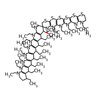 CCC1CCN(CC)C2=C1C(CC)C1=C(N2CC)N(CC)C2=C(C1CC)C(CC)C1=C(N2CC)N(CC)C2=C(C(CC)C3=C(N(CC)C4=C(C3CC)C(CC)C3(CSc5sc6sc7sc8sc9c(n(CC)c8n(CC)c7n(CC)c6n(CC)c5N3CC)N(CC)CCS9)CN4CC)N2CC)C1CC